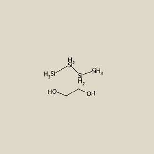 OCCO.[SiH3][SiH2][SiH2][SiH3]